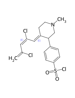 C=C(Cl)/C=C(Cl)\C=C1/CCN(C)CC1c1ccc(S(=O)(=O)Cl)cc1